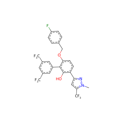 Cn1nc(-c2ccc(OCc3ccc(F)cc3)c(-c3cc(C(F)(F)F)cc(C(F)(F)F)c3)c2O)cc1C(F)(F)F